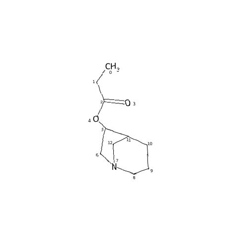 CCC(=O)OC1CN2CCCC1C2